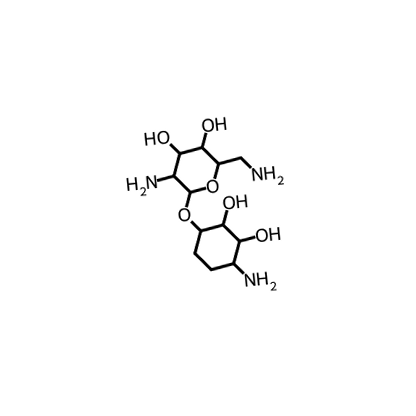 NCC1OC(OC2CCC(N)C(O)C2O)C(N)C(O)C1O